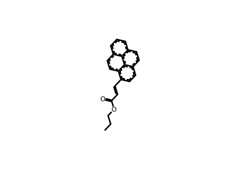 CCCOC(=O)C=Cc1ccc2ccc3cccc4ccc1c2c34